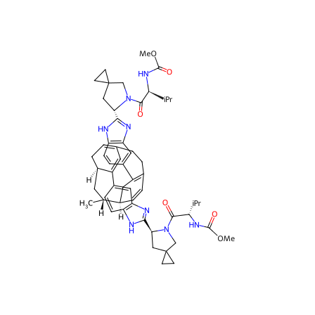 COC(=O)N[C@H](C(=O)N1CC2(CC2)C[C@H]1c1nc2cc(C3=CC4=CC[C@@H]3C[C@@H](C)[C@@H]3C=CC(=C(c5ccc6[nH]c([C@@H]7CC8(CC8)CN7C(=O)[C@@H](NC(=O)OC)C(C)C)nc6c5)C3)CC4)ccc2[nH]1)C(C)C